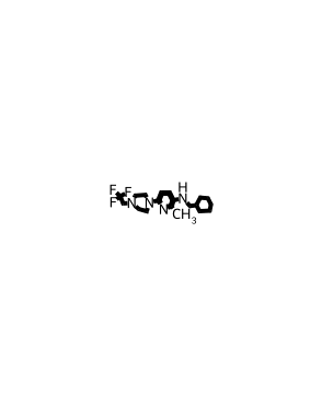 Cc1nc(N2CCN(CC(F)(F)F)CC2)ccc1NCC1CCCCC1